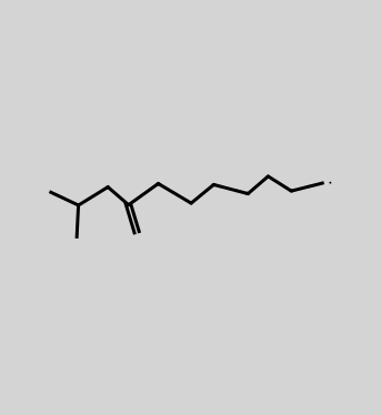 [CH2]CCCCCCC(=C)CC(C)C